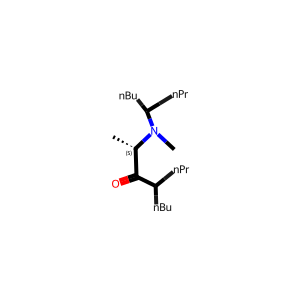 CCCCC(CCC)C(=O)[C@H](C)N(C)C(CCC)CCCC